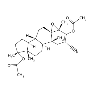 CC(=O)OC1=C(C#N)C[C@]2(C)[C@H]3CC[C@@]4(C)[C@@H](CC[C@@]4(C)OC(C)=O)[C@@H]3CC[C@]23O[C@]13C